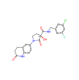 O=C1CCc2cc(N3CC[C@](O)(C(=O)NCc4cc(F)cc(Cl)c4)C3=O)ccc2N1